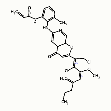 C=CC(=O)Nc1cccc(C)c1NC1=CC2C(=O)C=C(/C(CCl)=C(Cl)/C(=C\C(=C)CCC)OC)OC2C=N1